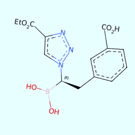 CCOC(=O)c1cn([C@@H](Cc2cccc(C(=O)O)c2)B(O)O)nn1